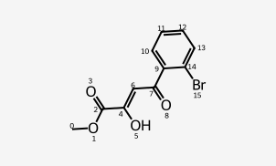 COC(=O)C(O)=CC(=O)c1ccccc1Br